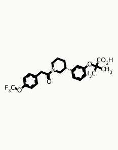 CC(C)(Oc1cccc([C@H]2CCCN(C(=O)Cc3ccc(OC(F)(F)F)cc3)C2)c1)C(=O)O